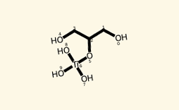 OCC(CO)[O][Ti]([OH])([OH])[OH]